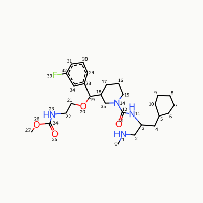 CNCC(CC1CCCCC1)NC(=O)N1CCCC(C(OCCNC(=O)OC)c2cccc(F)c2)C1